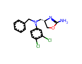 NC1=N[C@@H](CN(Cc2ccccc2)c2ccc(Cl)c(Cl)c2)CO1